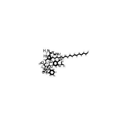 CCCCCCCCCCCCCCCCCCOC[C@H](COP(=O)(OC[C@](C)(CCc1ccc(/C(N)=N\C=N)[nH]1)OC)Oc1ccccc1Cl)Oc1ccc(C#N)c(OC(C)C)c1